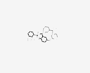 O=C(C1CCCN(c2nc(-c3ccccc3O)nc3ccc(F)cc23)C1)N1CCOCC1